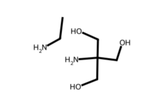 CCN.NC(CO)(CO)CO